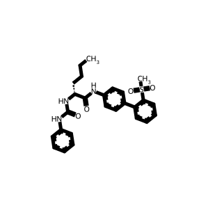 CCCC[C@@H](NC(=O)Nc1ccccc1)C(=O)Nc1ccc(-c2ccccc2S(C)(=O)=O)cc1